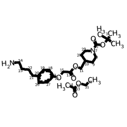 CC(C)(C)OC(=O)N1CCC(COC(=O)COc2ccc(CCCCN)cc2)CC1.CCOC(C)=O